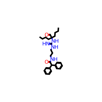 CCCCC(C=O)(CCCC)NC(=N)NCCCNC(=O)C(c1ccccc1)c1ccccc1